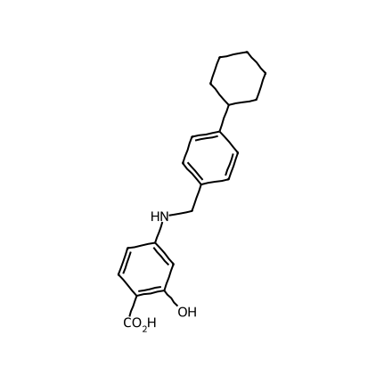 O=C(O)c1ccc(NCc2ccc(C3CCCCC3)cc2)cc1O